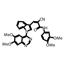 COc1ccc(NC(=O)C(C#N)=Cc2cn(-c3ncnc4cc(OC)c(OC)cc34)c3ccccc23)cc1OC